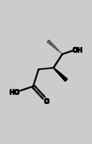 C[C@H](O)[C@@H](C)CC(=O)O